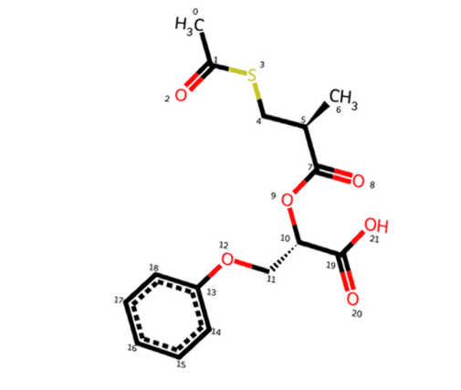 CC(=O)SC[C@@H](C)C(=O)O[C@@H](COc1ccccc1)C(=O)O